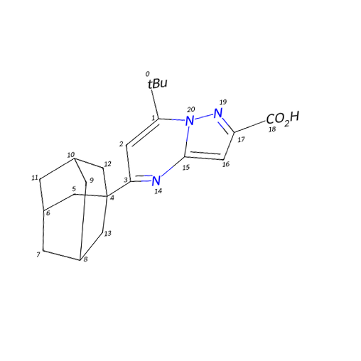 CC(C)(C)c1cc(C23CC4CC(CC(C4)C2)C3)nc2cc(C(=O)O)nn12